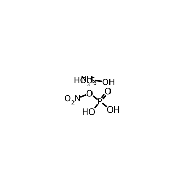 N.O=S(=O)(O)O.O=[N+]([O-])OP(=O)(O)O